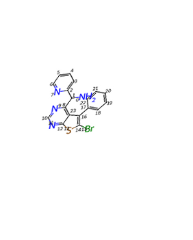 NC(c1ccccn1)c1ncnc2sc(Br)c(-c3ccccc3)c12